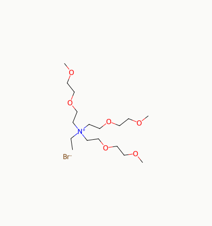 CC[N+](CCOCCOC)(CCOCCOC)CCOCCOC.[Br-]